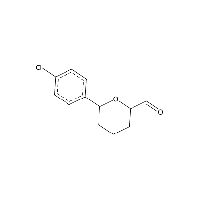 O=CC1CCCC(c2ccc(Cl)cc2)O1